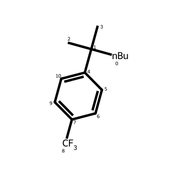 CCCCC(C)(C)c1ccc(C(F)(F)F)cc1